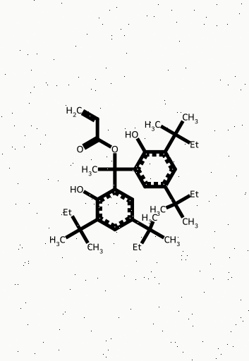 C=CC(=O)OC(C)(c1cc(C(C)(C)CC)cc(C(C)(C)CC)c1O)c1cc(C(C)(C)CC)cc(C(C)(C)CC)c1O